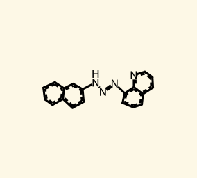 c1ccc2cc(N/N=N/c3cccc4cccnc34)ccc2c1